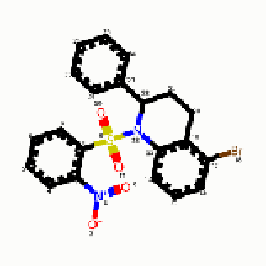 O=[N+]([O-])c1ccccc1S(=O)(=O)N1c2cccc(Br)c2CCC1c1ccccc1